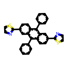 c1ccc(-c2c3ccc(-c4nccs4)cc3c(-c3ccccc3)c3ccc(-c4nccs4)cc23)cc1